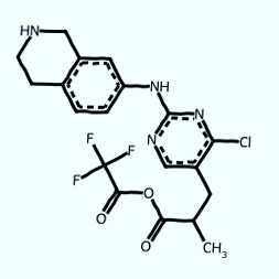 CC(Cc1cnc(Nc2ccc3c(c2)CNCC3)nc1Cl)C(=O)OC(=O)C(F)(F)F